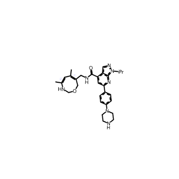 C/C1=C/C(C)=C(/CNC(=O)c2cc(-c3ccc(N4CCNCC4)cc3)nc3c2cnn3C(C)C)COCN1